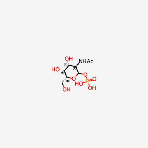 CC(=O)N[C@H]1C(OP(=O)(O)O)O[C@H](CO)[C@H](O)[C@@H]1O